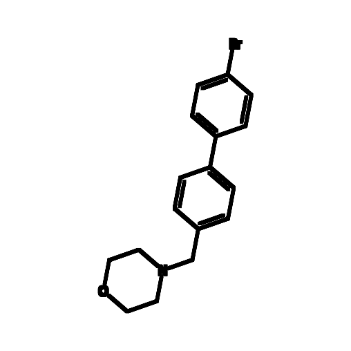 Brc1ccc(-c2ccc(CN3CCOCC3)cc2)cc1